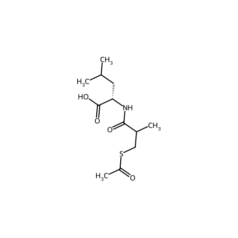 CC(=O)SCC(C)C(=O)N[C@@H](CC(C)C)C(=O)O